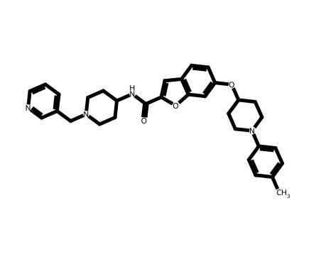 Cc1ccc(N2CCC(Oc3ccc4cc(C(=O)NC5CCN(Cc6cccnc6)CC5)oc4c3)CC2)cc1